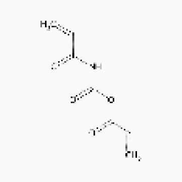 C=CC(=O)NC(=O)OC(=O)C=C